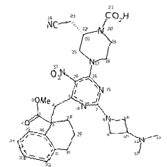 COC(=O)C1(Cc2nc(N3CC(N(C)C)C3)nc(N3CCN(C(=O)O)[C@@H](CC#N)C3)c2[N+](=O)[O-])CCCc2ccccc21